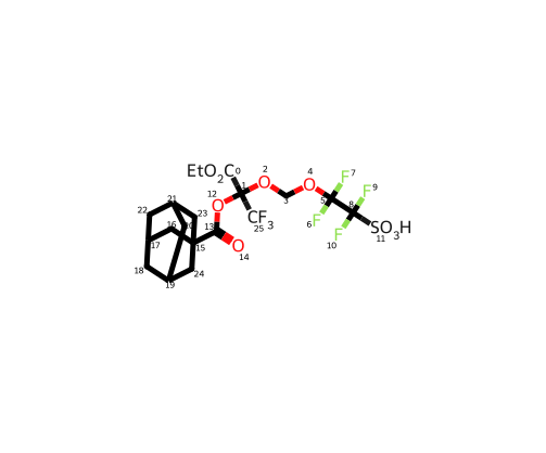 CCOC(=O)C(OCOC(F)(F)C(F)(F)S(=O)(=O)O)(OC(=O)C12CC3CC(CC(C3)C1)C2)C(F)(F)F